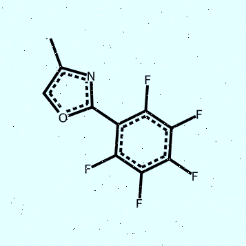 [CH2]c1coc(-c2c(F)c(F)c(F)c(F)c2F)n1